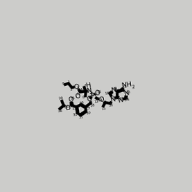 CCCOC(=O)C(C)(C)NP(=O)(COC(C)Cn1cnc2c(N)ncnc21)OCc1cccc(C(=O)OC(C)C)c1